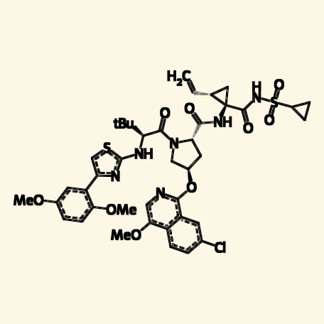 C=C[C@@H]1C[C@]1(NC(=O)[C@@H]1C[C@@H](Oc2ncc(OC)c3ccc(Cl)cc23)CN1C(=O)[C@@H](Nc1nc(-c2cc(OC)ccc2OC)cs1)C(C)(C)C)C(=O)NS(=O)(=O)C1CC1